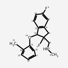 CNCC1(F)Cc2cc(F)ccc2C1Oc1ccccc1C